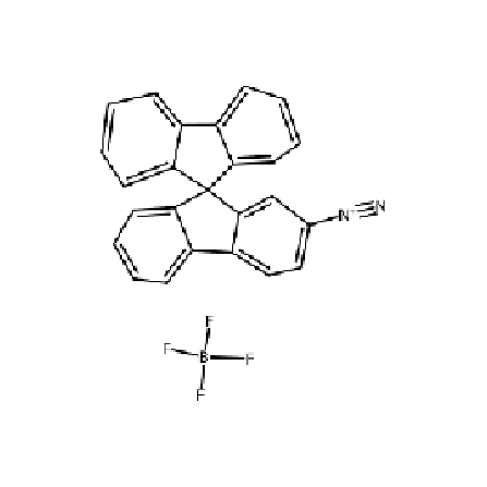 F[B-](F)(F)F.N#[N+]c1ccc2c(c1)C1(c3ccccc3-c3ccccc31)c1ccccc1-2